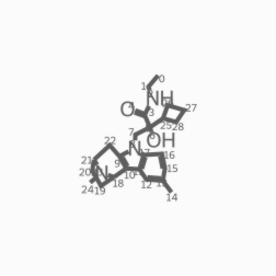 CCNC(=O)C(O)(Cn1c2c(c3cc(C)ccc31)C1CCC(C2)N1C)C1CCC1